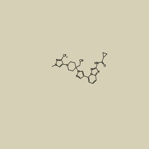 Cn1cc(N2CCC(CC#N)(n3cc(-c4cccc5nc(NC(=O)C6CC6)nn45)cn3)CC2)c(C(F)(F)F)n1